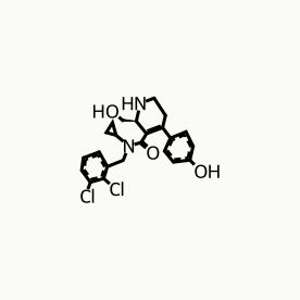 O=C(C1=C(c2ccc(O)cc2)CCN[C@@H]1CO)N(Cc1cccc(Cl)c1Cl)C1CC1